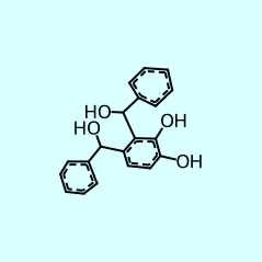 Oc1ccc(C(O)c2ccccc2)c(C(O)c2ccccc2)c1O